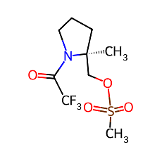 C[C@@]1(COS(C)(=O)=O)CCCN1C(=O)C(F)(F)F